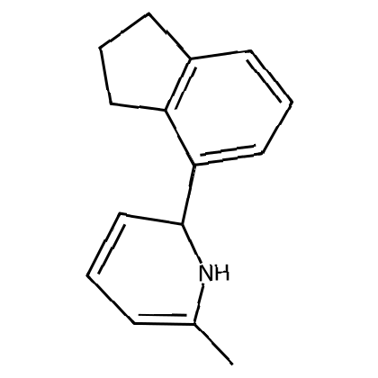 CC1=CC=CC(c2cccc3c2CCC3)N1